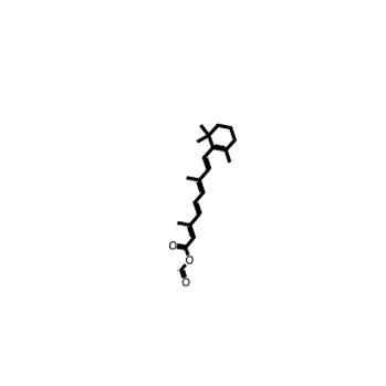 CC1=C(/C=C/C(C)=C/C=C/C(C)=C/C(=O)O[C]=O)C(C)(C)CCC1